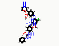 COc1cc(NC(=O)Nc2ccccc2)ccc1Nc1ncc(Cl)c(Nc2ccc(C3CNCCO3)c(OC)c2)n1